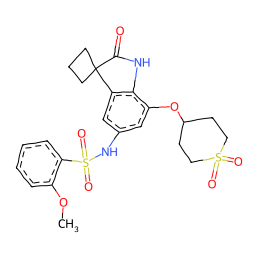 COc1ccccc1S(=O)(=O)Nc1cc(OC2CCS(=O)(=O)CC2)c2c(c1)C1(CCC1)C(=O)N2